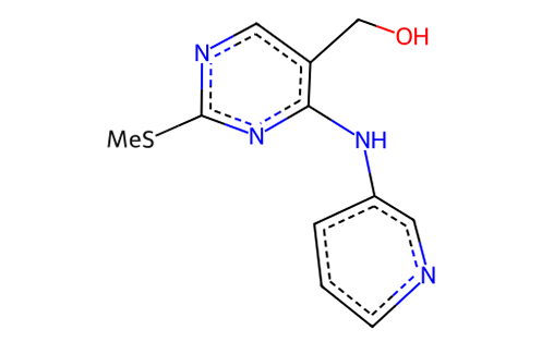 CSc1ncc(CO)c(Nc2cccnc2)n1